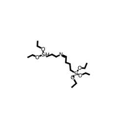 CCO[SiH](CCC/N=C\CCC[Si](OCC)(OCC)OCC)OCC